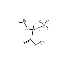 C=CCC(=O)O.C[SiH2]O[Si](C)(C)O[Si](C)(C)C